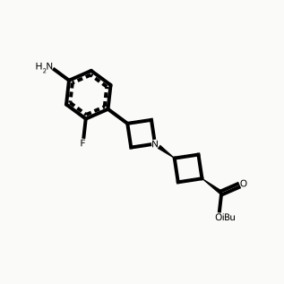 CC(C)COC(=O)[C@H]1C[C@@H](N2CC(c3ccc(N)cc3F)C2)C1